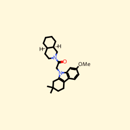 COc1ccc2c3c(n(CC(=O)N4CC[C@H]5CCCC[C@H]5C4)c2c1)CC(C)(C)CC3